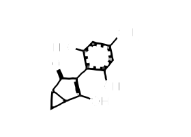 Cc1cc(C)c(C2=C(O)C3CC3C2=O)c(C)c1